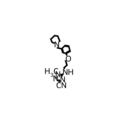 Cn1nc(C#N)nc1NCCCOc1cccc(CN2CCCCC2)c1